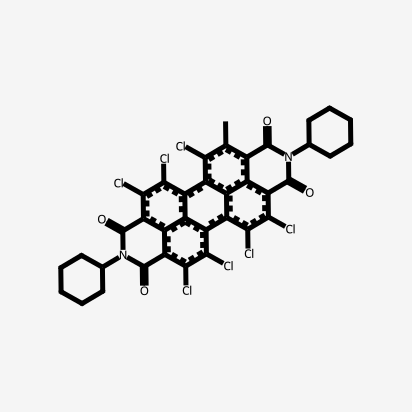 Cc1c2c3c(c(Cl)c(Cl)c4c5c(Cl)c(Cl)c6c7c(c(Cl)c(Cl)c(c(c1Cl)c34)c75)C(=O)N(C1CCCCC1)C6=O)C(=O)N(C1CCCCC1)C2=O